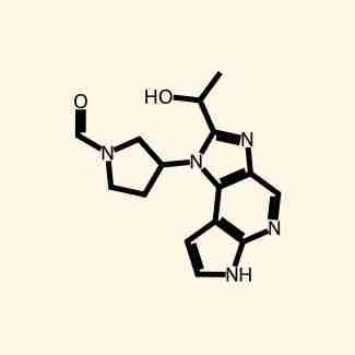 CC(O)c1nc2cnc3[nH]ccc3c2n1C1CCN(C=O)C1